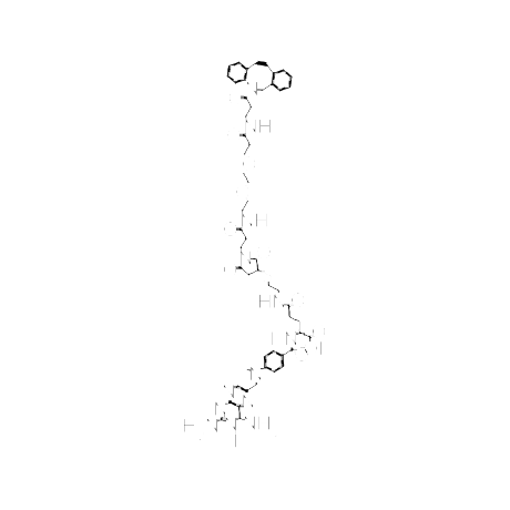 CN(Cc1cnc2c(n1)C(N)NC(N)=N2)c1ccc(C(=O)N[C@@H](CCC(=O)NCCSC2CC(=O)N(CCC(=O)NCCOCCOCCC(=O)NCCC(=O)N3Cc4ccccc4C#Cc4ccccc43)C2=O)C(=O)O)cc1